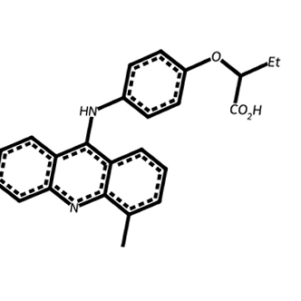 CCC(Oc1ccc(Nc2c3ccccc3nc3c(C)cccc23)cc1)C(=O)O